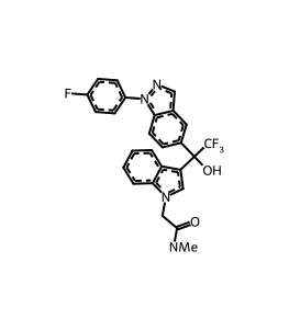 CNC(=O)Cn1cc(C(O)(c2ccc3c(cnn3-c3ccc(F)cc3)c2)C(F)(F)F)c2ccccc21